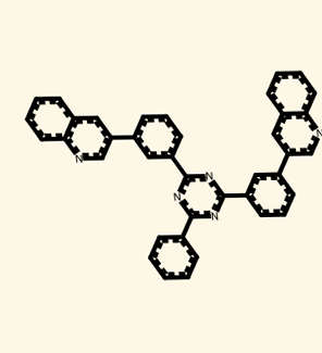 c1ccc(-c2nc(-c3cccc(-c4cnc5ccccc5c4)c3)nc(-c3cccc(-c4cnc5ccccc5c4)c3)n2)cc1